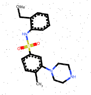 COCc1ccccc1NS(=O)(=O)c1ccc(C)c(N2CCNCC2)c1